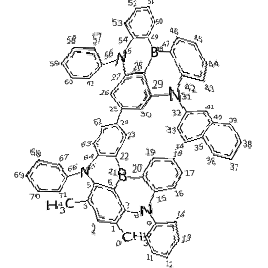 Cc1cc(C)c2c3c1N(c1ccccc1)c1ccccc1B3c1cc(-c3cc4c5c(c3)N(c3ccc6ccccc6c3)c3ccccc3B5c3ccccc3N4c3ccccc3)ccc1N2c1ccccc1